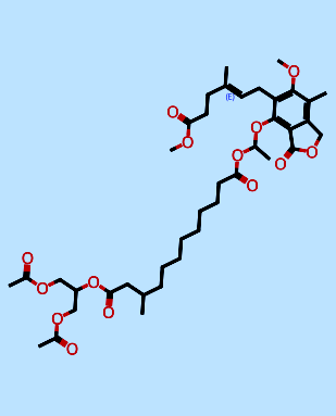 COC(=O)CC/C(C)=C/Cc1c(OC)c(C)c2c(c1OC(C)OC(=O)CCCCCCCCC(C)CC(=O)OC(COC(C)=O)COC(C)=O)C(=O)OC2